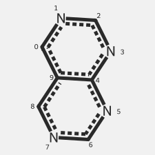 [c]1ncnc2ncncc12